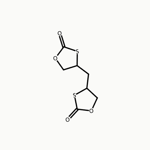 O=C1OCC(CC2COC(=O)S2)S1